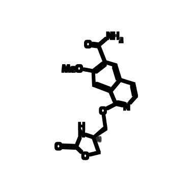 COc1cc2c(OC[C@H]3COC(=O)N3)nccc2cc1C(N)=O